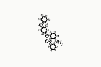 Nc1ccccc1C(=O)c1ccccc1Oc1ccc(Oc2ccccc2)cc1